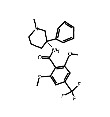 COc1cc(C(F)(F)F)cc(SC)c1C(=O)N[C@]1(c2ccccc2)CCCN(C)C1